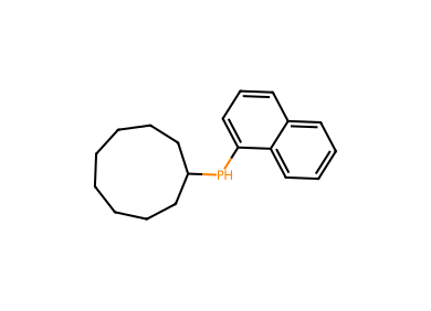 c1ccc2c(PC3CCCCCCCC3)cccc2c1